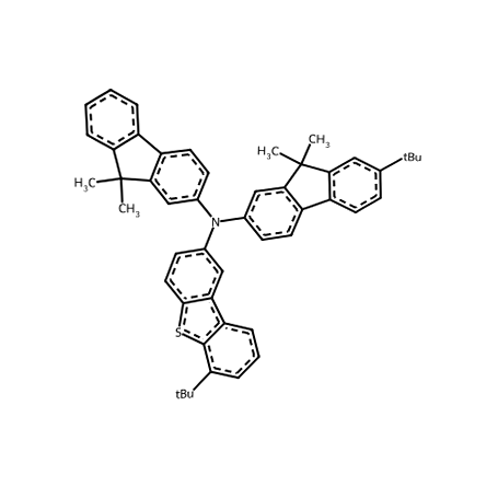 CC(C)(C)c1ccc2c(c1)C(C)(C)c1cc(N(c3ccc4c(c3)C(C)(C)c3ccccc3-4)c3ccc4sc5c(C(C)(C)C)cccc5c4c3)ccc1-2